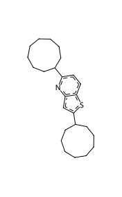 c1cc2sc(C3CCCCCCCC3)cc2nc1C1CCCCCCCC1